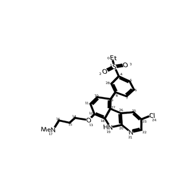 CCS(=O)(=O)c1cccc(-c2ccc(OCCCNC)c3[nH]c4ncc(Cl)cc4c23)c1